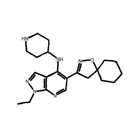 CCn1ncc2c(NC3CCNCC3)c(C3=NOC4(CCCCC4)C3)cnc21